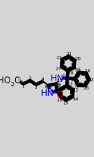 O=C(O)CCCC[C@@H]1NC(=O)[C@H]1NC(c1ccccc1)(c1ccccc1)c1ccccc1